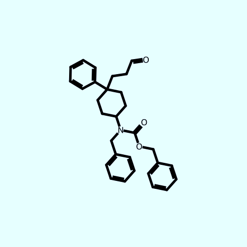 O=CCCC1(c2ccccc2)CCC(N(Cc2ccccc2)C(=O)OCc2ccccc2)CC1